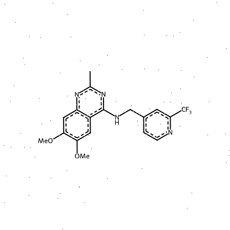 COc1cc2nc(C)nc(NCc3ccnc(C(F)(F)F)c3)c2cc1OC